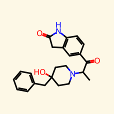 CC(C(=O)c1ccc2c(c1)CC(=O)N2)N1CCC(O)(Cc2ccccc2)CC1